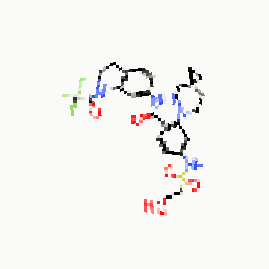 O=C(Nc1ccc2c(c1)N(C(=O)C(F)(F)F)CC2)c1ccc(NS(=O)(=O)CCO)cc1N1CCC2(CC1)CC2